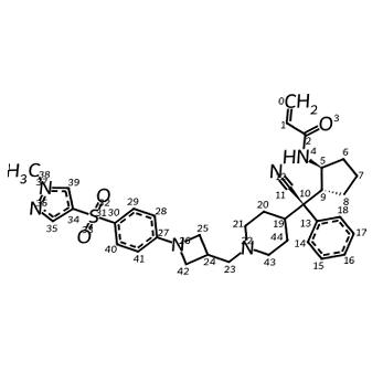 C=CC(=O)N[C@H]1CCC[C@@H]1[C@](C#N)(c1ccccc1)C1CCN(CC2CN(c3ccc(S(=O)(=O)c4cnn(C)c4)cc3)C2)CC1